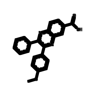 COc1ccc(-c2nc3cc(C(=O)O)ccc3nc2-c2ccccc2)cc1